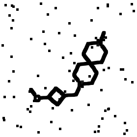 COC1CC(CN2CCC3(CCN(C)CC3)CC2)C1